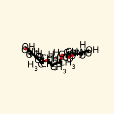 CC(C=CC=C(C)C=CC1=C(C)C(=O)C(OC(=O)CCCNC(=O)NCCC(=O)O)CC1(C)C)=CC=CC=C(C)C=CC=C(C)C=CC1=C(C)C(=O)C(OC(=O)CCCNC(=O)NCCC(=O)O)CC1(C)C